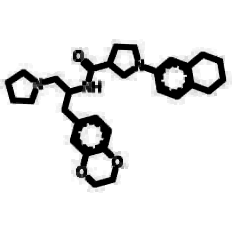 O=C(NC(Cc1ccc2c(c1)OCCO2)CN1CCCC1)C1CCN(c2ccc3c(c2)CCCC3)C1